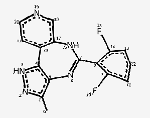 Cc1n[nH]c2c1N=C(c1c(F)cccc1F)Nc1cnccc1-2